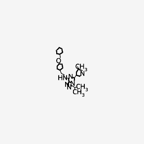 Cc1cncc(-c2cn3c(C(C)C)nnc3c(NCCc3ccc(OCc4ccccc4)cc3)n2)c1